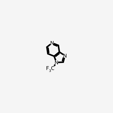 FC(F)(F)n1cnc2cnccc21